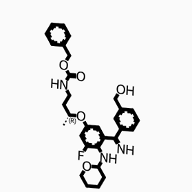 C[C@H](CCNC(=O)OCc1ccccc1)Oc1cc(F)c(NC2CCCCO2)c(C(=N)c2cccc(CO)c2)c1